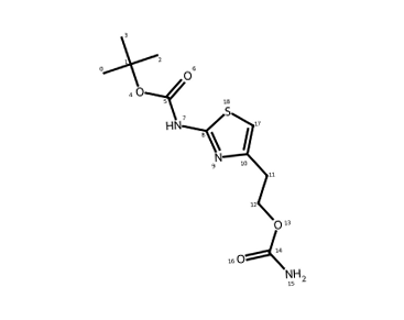 CC(C)(C)OC(=O)Nc1nc(CCOC(N)=O)cs1